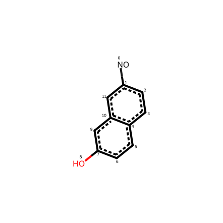 O=Nc1ccc2ccc(O)cc2c1